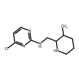 CC1CCCNC1CNc1nccc(Cl)n1